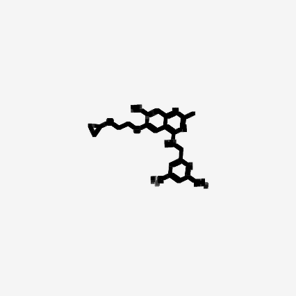 Cc1nc(NCc2cc(C(F)(F)F)cc(N)n2)c2cc(OCCOC3CC3)c(C#N)cc2n1